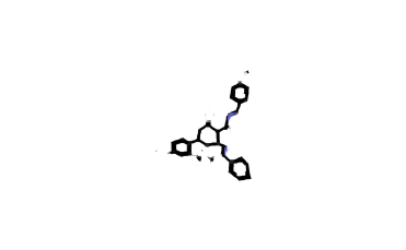 COc1ccc(/C=C/C(=O)C2C(=O)CC(c3ccc(OC)cc3)C([N+](=O)[O-])C2/C=C/c2ccccc2)cc1